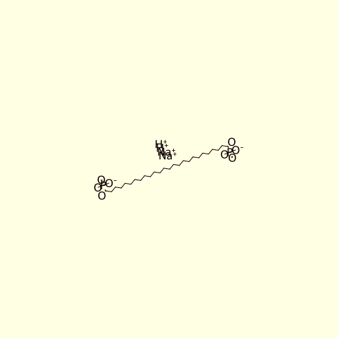 O=C(CCCCCCCCCCCCCCCCCCCCCCCCC(=O)P(=O)([O-])[O-])P(=O)([O-])[O-].[H+].[H+].[Na+].[Na+]